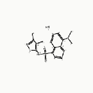 Cc1noc(NS(=O)(=O)c2cccc3c(N(C)C)cccc23)c1C.Cl